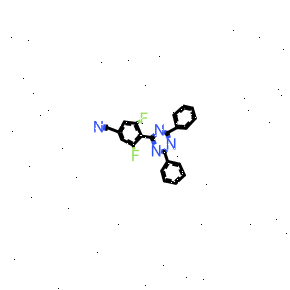 N#Cc1cc(F)c(-c2nc(-c3ccccc3)nc(-c3ccccc3)n2)c(F)c1